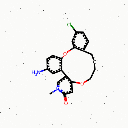 Cn1cc2c(cc1=O)OCCCCc1ccc(Cl)cc1Oc1ccc(N)cc1-2